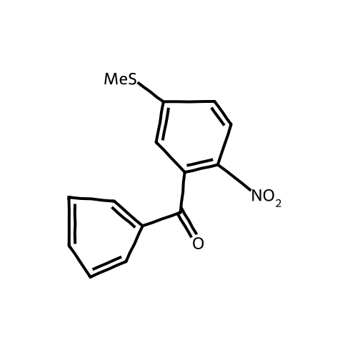 CSc1ccc([N+](=O)[O-])c(C(=O)c2ccccc2)c1